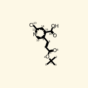 CC(C)(C)OC(=O)C=Cc1cnc(Cl)cc1C(=O)O